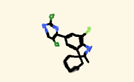 CC1=Nc2c(F)cc(-c3nc(Cl)ncc3Cl)cc2C12CCCCC2